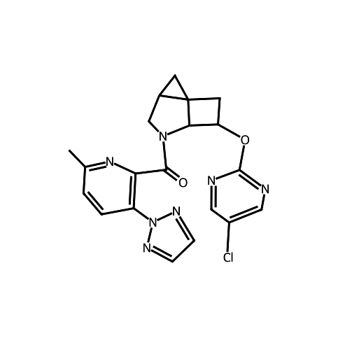 Cc1ccc(-n2nccn2)c(C(=O)N2CC3CC34CC(Oc3ncc(Cl)cn3)C24)n1